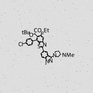 CCOC(=O)[C@@H](OC(C)(C)C)c1c(C)cc2nc(-c3ccc4c(c3)c(N3CC[C@H](NC)C3)nn4C)sc2c1-c1ccc(Cl)cc1